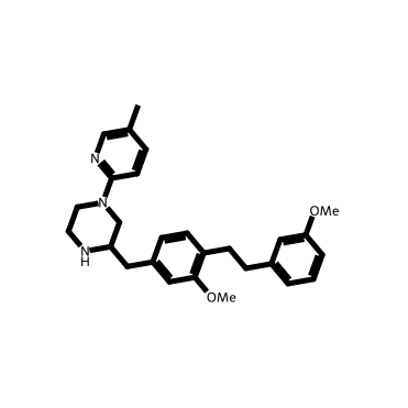 COc1cccc(CCc2ccc(CC3CN(c4ccc(C)cn4)CCN3)cc2OC)c1